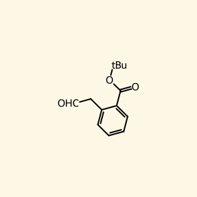 CC(C)(C)OC(=O)c1ccccc1CC=O